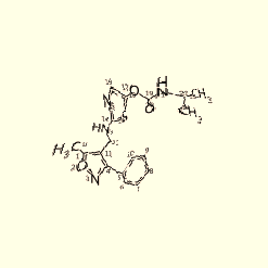 Cc1onc(-c2ccccc2)c1CNc1ncc(OC(=O)NC(C)C)s1